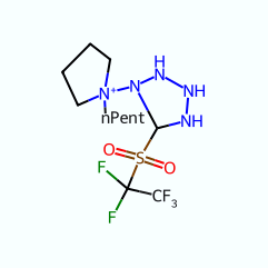 CCCCC[N+]1(N2NNNC2S(=O)(=O)C(F)(F)C(F)(F)F)CCCC1